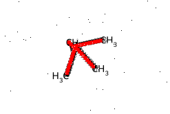 [CH2]CCCc1nc(CCCCCCCCCCCCCCCCCCCC)c(CCCCCCCCCCCCCCCCCCCC)c(CCCCCCCCCCCCCCCCCCCC)n1